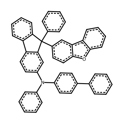 c1ccc(-c2ccc(N(c3ccccc3)c3ccc4c(c3)C(c3ccccc3)(c3ccc5oc6ccccc6c5c3)c3ccccc3-4)cc2)cc1